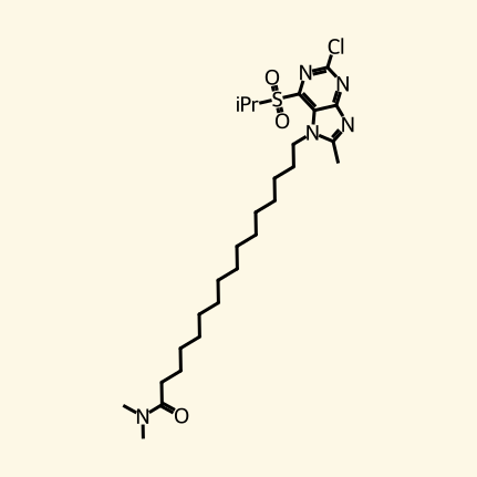 Cc1nc2nc(Cl)nc(S(=O)(=O)C(C)C)c2n1CCCCCCCCCCCCCCCC(=O)N(C)C